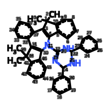 CC1(C)C2=C(c3ccccc31)N(C1=NC(c3ccccc3)NC(c3ccccc3)N1)C1=C(c3ccccc32)C(C)(C)c2ccccc21